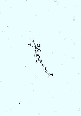 CN(C)CCCN(CCCN(C)C)C1=C/C(=C/c2sc3ccc(C(=O)NCCOCCOCCOCCO)cc3[n+]2C)c2ccccc2N1c1ccccc1